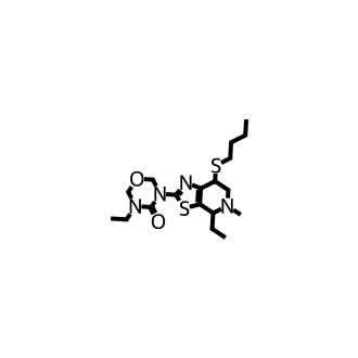 CCCCSC1CN(C)C(CC)c2sc(N3COCN(CC)C3=O)nc21